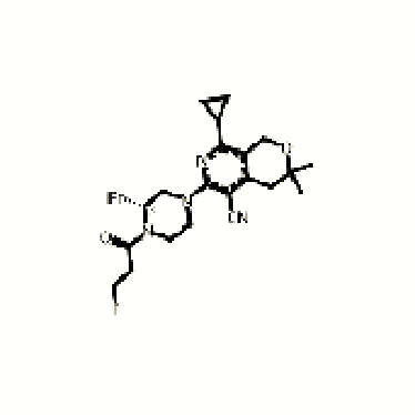 CC(C)[C@@H]1CN(c2nc(C3CC3)c3c(c2C#N)CC(C)(C)OC3)CCN1C(=O)CCF